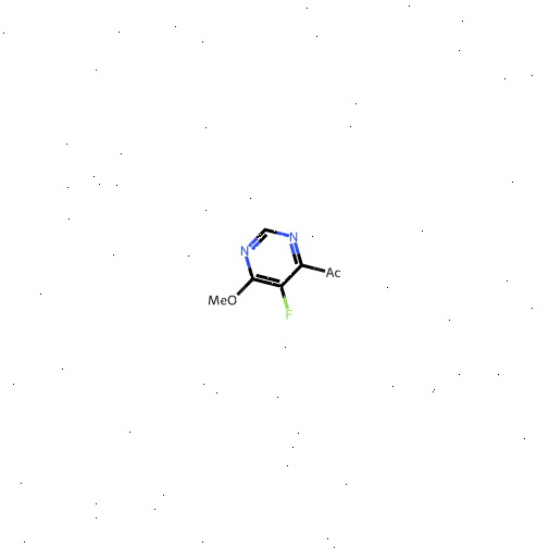 COc1ncnc(C(C)=O)c1F